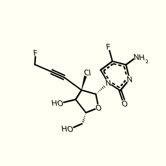 Nc1nc(=O)n([C@@H]2O[C@H](CO)C(O)[C@]2(Cl)C#CCF)cc1F